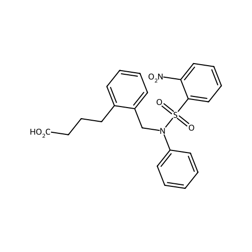 O=C(O)CCCc1ccccc1CN(c1ccccc1)S(=O)(=O)c1ccccc1[N+](=O)[O-]